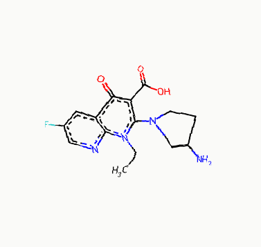 CCn1c(N2CCC(N)C2)c(C(=O)O)c(=O)c2cc(F)cnc21